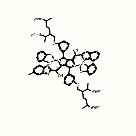 CCCCCC(C)CCC(COc1cccc(-c2c3/c(=C(\C#N)c4nc5cc(C)ccc5s4)n(B4Oc5ccccc5O4)c(-c4cccc(OCC(CCC(C)CCCCC)C(C)CCCCC)c4)c3/c(=C(\C#N)c3nc4ccccc4s3)n2B2Oc3ccccc3O2)c1)C(C)CCCCC